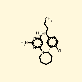 CCCNc1ccc(Cl)c([C@@H]2CCCCCN2c2cc(C)nc(N)n2)c1